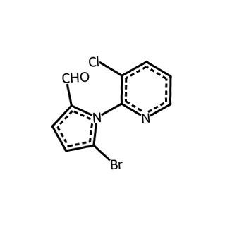 O=Cc1ccc(Br)n1-c1ncccc1Cl